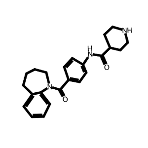 O=C(Nc1ccc(C(=O)N2CCCCc3ccccc32)cc1)C1CCNCC1